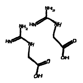 N=C(N)NCC(=O)O.N=C(N)NCC(=O)O